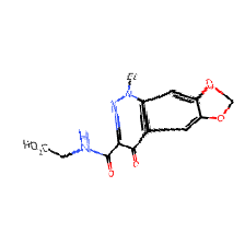 CCn1nc(C(=O)NCC(=O)O)c(=O)c2cc3c(cc21)OCO3